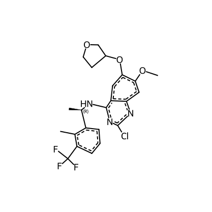 COc1cc2nc(Cl)nc(N[C@H](C)c3cccc(C(F)(F)F)c3C)c2cc1OC1CCOC1